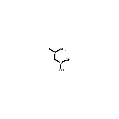 CN(N)CB(O)O